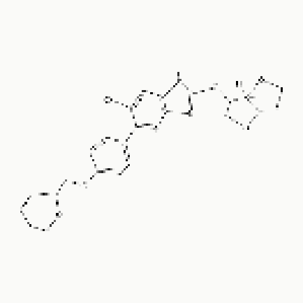 Clc1cc2[nH]c(OC3COC4CCO[C@@H]43)nc2nc1-c1ccc(OCC2CCCCO2)cc1